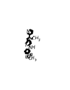 Cn1c(-c2cccnc2)cc2cnc(Nc3cccc(S(C)(=O)=O)c3)cc21